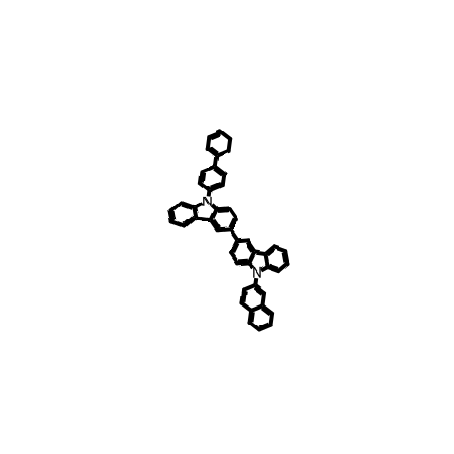 C1=CCCC(c2ccc(-n3c4ccccc4c4cc(-c5ccc6c(c5)c5ccccc5n6-c5ccc6ccccc6c5)ccc43)cc2)=C1